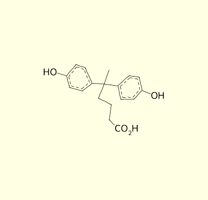 CC(CCCC(=O)O)(c1ccc(O)cc1)c1ccc(O)cc1